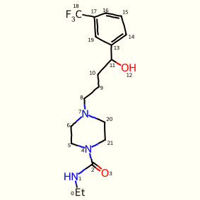 CCNC(=O)N1CCN(CCCC(O)c2cccc(C(F)(F)F)c2)CC1